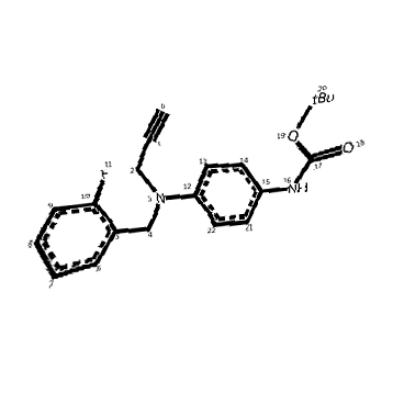 C#CCN(Cc1ccccc1F)c1ccc(NC(=O)OC(C)(C)C)cc1